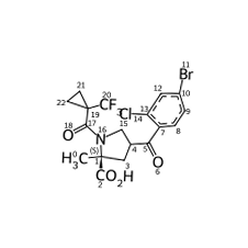 C[C@@]1(C(=O)O)CC(C(=O)c2ccc(Br)cc2Cl)CN1C(=O)C1(C(F)(F)F)CC1